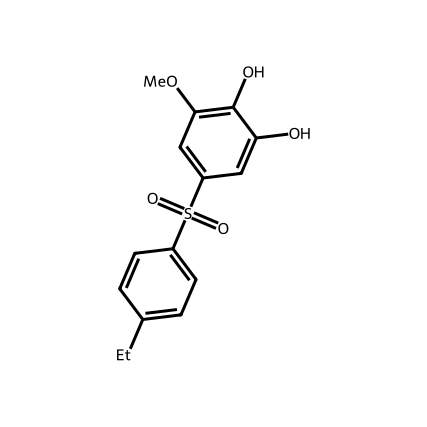 CCc1ccc(S(=O)(=O)c2cc(O)c(O)c(OC)c2)cc1